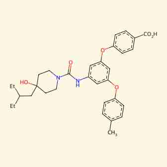 CCC(CC)CC1(O)CCN(C(=O)Nc2cc(Oc3ccc(C)cc3)cc(Oc3ccc(C(=O)O)cc3)c2)CC1